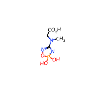 CN(CC(=O)O)C1=NOP(O)(O)=N1